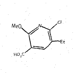 CCc1cc(C(=O)O)c(OC)nc1Cl